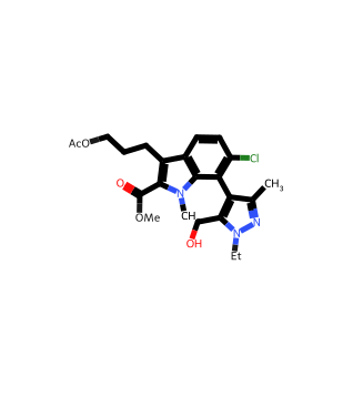 CCn1nc(C)c(-c2c(Cl)ccc3c(CCCOC(C)=O)c(C(=O)OC)n(C)c23)c1CO